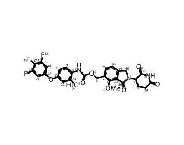 COc1c(COC(=O)Nc2ccc(Oc3cc(F)c(F)c(F)c3)cc2C)ccc2c1C(=O)N(C1CCC(=O)NC1=O)C2